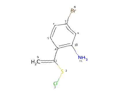 C=C(SCl)c1ccc(Br)cc1N